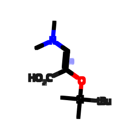 CN(C)/C=C(/O[Si](C)(C)C(C)(C)C)C(=O)O